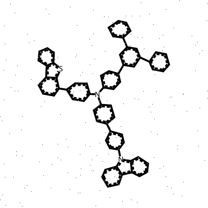 c1ccc(-c2cc(-c3ccccc3)cc(-c3ccc(N(c4ccc(-c5ccc(-n6c7ccccc7c7ccccc76)cc5)cc4)c4ccc(-c5cccc6c5sc5ccccc56)cc4)cc3)c2)cc1